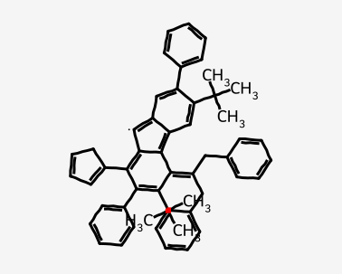 CC(C)(C)c1cc2c(cc1-c1ccccc1)=[C]c1c(C3=CC=CC3)c(-c3ccccc3)c(C(C)(C)C)c(=C(Cc3ccccc3)Cc3ccccc3)c1=2